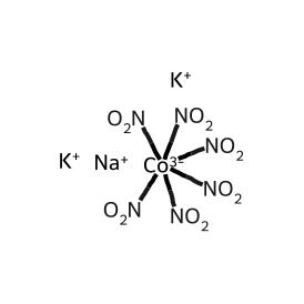 O=[N+]([O-])[Co-3]([N+](=O)[O-])([N+](=O)[O-])([N+](=O)[O-])([N+](=O)[O-])[N+](=O)[O-].[K+].[K+].[Na+]